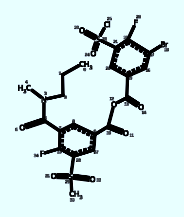 CCCN(C)C(=O)c1cc(C(=O)OC(=O)c2cc(Br)c(F)c(S(=O)(=O)Cl)c2)cc(S(C)(=O)=O)c1F